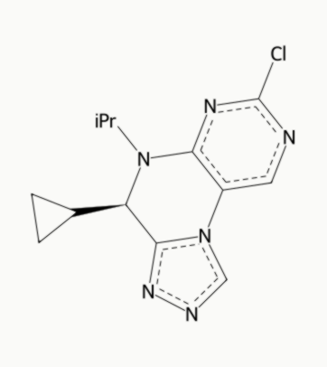 CC(C)N1c2nc(Cl)ncc2-n2cnnc2[C@H]1C1CC1